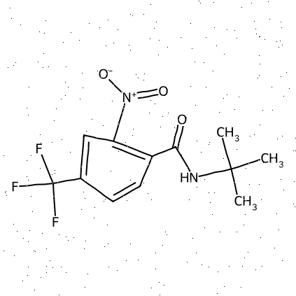 CC(C)(C)NC(=O)c1ccc(C(F)(F)F)cc1[N+](=O)[O-]